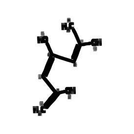 C=C(O)/C=C(O)\C=C(/C)O